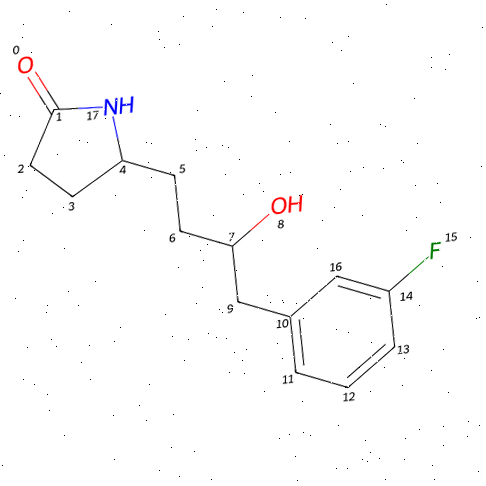 O=C1CCC(CCC(O)Cc2cccc(F)c2)N1